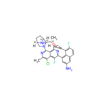 C#Cc1c(F)ccc2cc(N)cc(-c3nc4c5c(nc(C)c(Cl)c5c3F)N3C[C@H]5CC[C@H](N5)[C@H]3[C@H](C)O4)c12